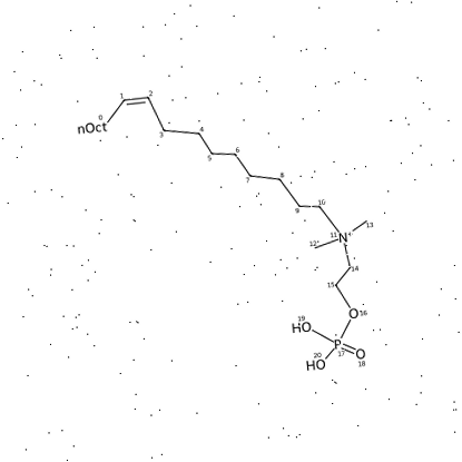 CCCCCCCC/C=C\CCCCCCCC[N+](C)(C)CCOP(=O)(O)O